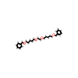 c1ccc(COCCCCCOCCOCCCCCOCc2ccccc2)cc1